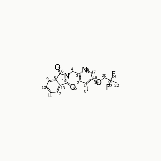 Cc1cc(CN2C(=O)c3ccccc3C2=O)ncc1OCC(C)(F)F